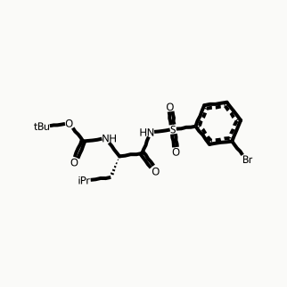 CC(C)C[C@H](NC(=O)OC(C)(C)C)C(=O)NS(=O)(=O)c1cccc(Br)c1